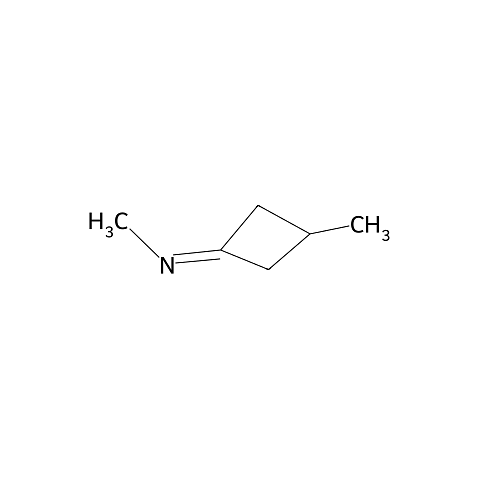 CN=C1CC(C)C1